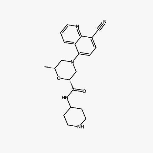 C[C@@H]1CN(c2ccc(C#N)c3ncccc23)C[C@H](C(=O)NC2CCNCC2)O1